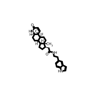 C[C@]12C=CC(=O)N[C@@H]1CC[C@@H]1[C@@H]2CC[C@]2(C)[C@@H](CC(=O)NCCc3ccc4[nH]ccc4c3)CC[C@@H]12